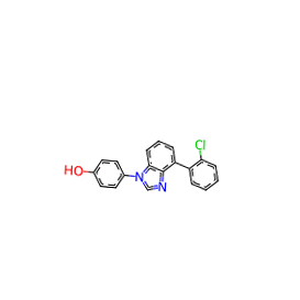 Oc1ccc(-n2cnc3c(-c4ccccc4Cl)cccc32)cc1